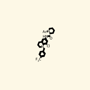 CC(=O)N1CCCC[C@@H]1C(=O)Nc1cc(Cl)c2c(c1)CCCN2Cc1ccc(C(F)(F)F)cc1